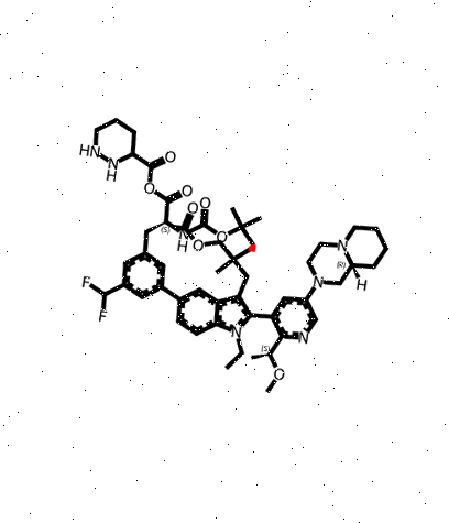 CCn1c(-c2cc(N3CCN4CCCC[C@@H]4C3)cnc2[C@H](C)OC)c(CC(C)(C)COC(C)=O)c2cc(-c3cc(C[C@H](NC(=O)OC(C)(C)C)C(=O)OC(=O)C4CCCNN4)cc(C(F)F)c3)ccc21